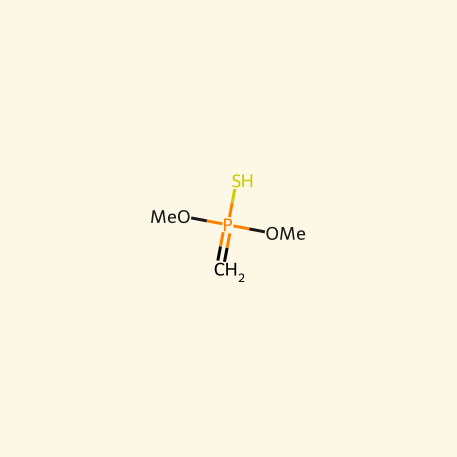 C=P(S)(OC)OC